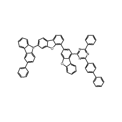 c1ccc(-c2ccc(-c3nc(-c4ccccc4)nc(-c4cc(-c5cccc6c5oc5cc(-n7c8ccccc8c8cc(-c9ccccc9)ccc87)ccc56)cc5oc6ccccc6c45)n3)cc2)cc1